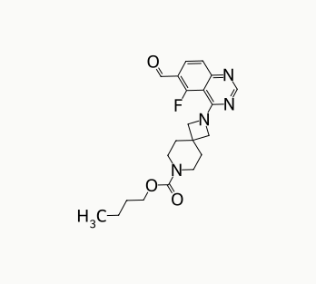 CCCCOC(=O)N1CCC2(CC1)CN(c1ncnc3ccc(C=O)c(F)c13)C2